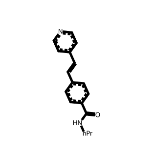 CCCNC(=O)c1ccc(/C=C/c2ccncc2)cc1